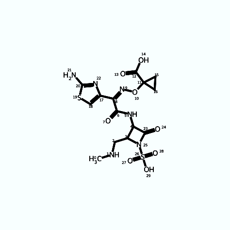 CNCC1C(NC(=O)/C(=N\OC2(C(=O)O)CC2)c2csc(N)n2)C(=O)N1S(=O)(=O)O